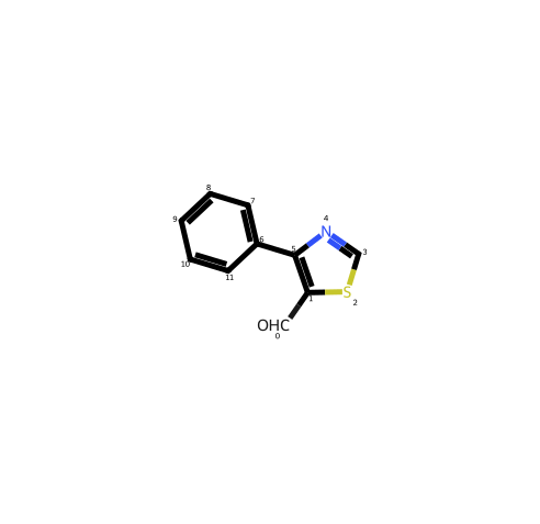 O=Cc1scnc1-c1ccccc1